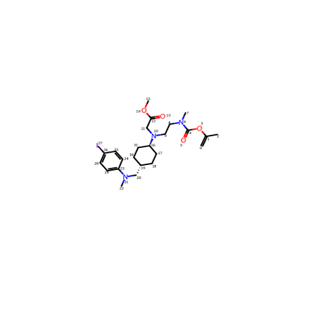 C=C(C)OC(=O)N(C)CCN(CC(=O)OC)[C@H]1CC[C@H](CN(C)c2ccc(I)cc2)CC1